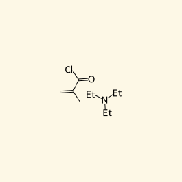 C=C(C)C(=O)Cl.CCN(CC)CC